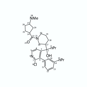 [CH2]CCC(O)(c1ccnc(Cl)c1-c1cccc(CCC)c1)C1CCCN(C(=O)C2CCC(NC)C2)C1